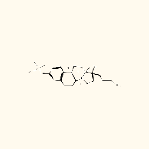 CC(C)(C)[Si](C)(C)Oc1ccc2c(c1)CC[C@@H]1[C@@H]2CC[C@@]2(C)[C@H]1CC[C@@]2(O)CCCN